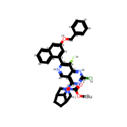 CC(C)(C)OC(=O)NC1C2CCC1CN(c1nc(Cl)nc3c(F)c(-c4cc(OCc5ccccc5)cc5ccccc45)ncc13)C2